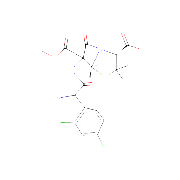 COC(=O)C1(NC(=O)C(N)c2ccc(Cl)cc2Cl)C(=O)N2[C@@H](C(=O)O)C(C)(C)S[C@@H]21